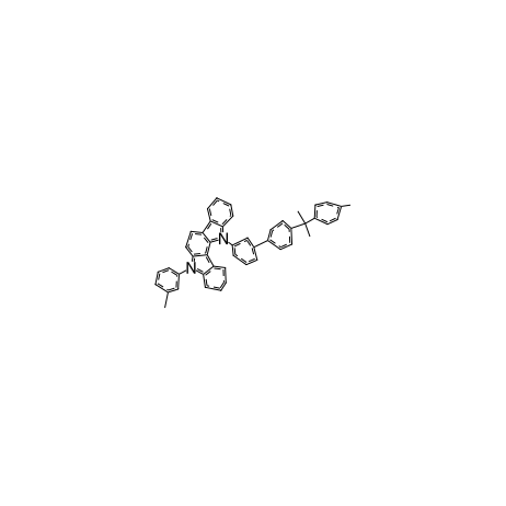 Cc1ccc(C(C)(C)c2ccc(-c3cccc(-n4c5ccccc5c5ccc6c(c7ccccc7n6-c6cccc(C)c6)c54)c3)cc2)cc1